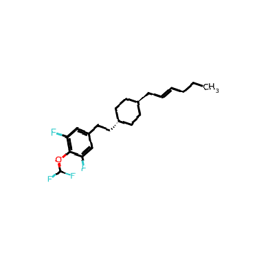 CCC/C=C/C[C@H]1CC[C@H](CCc2cc(F)c(OC(F)F)c(F)c2)CC1